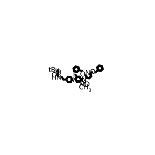 Cn1c(=O)n(-c2ccc(OCc3ccccc3)nc2OCc2ccccc2)c2cc(F)c(N3CCC(CCNC(=O)OC(C)(C)C)CC3)cc21